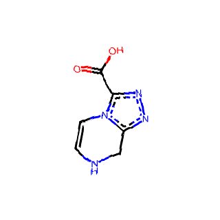 O=C(O)c1nnc2n1C=CNC2